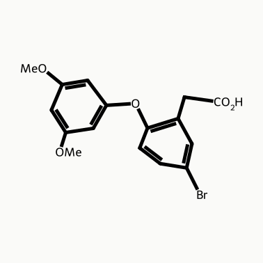 COc1cc(OC)cc(Oc2ccc(Br)cc2CC(=O)O)c1